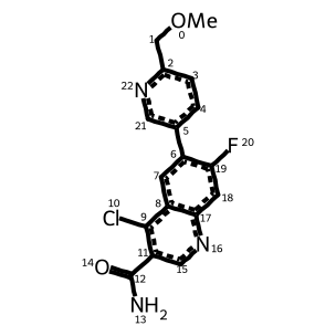 COCc1ccc(-c2cc3c(Cl)c(C(N)=O)cnc3cc2F)cn1